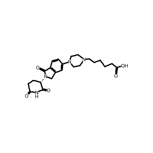 O=C(O)CCCCCN1CCN(c2ccc3c(c2)CN([C@H]2CCC(=O)NC2=O)C3=O)CC1